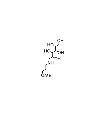 COCCCNC[C@H](O)[C@@H](O)[C@H](O)[C@H](O)CO